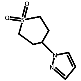 O=S1(=O)CCC(n2cccn2)CC1